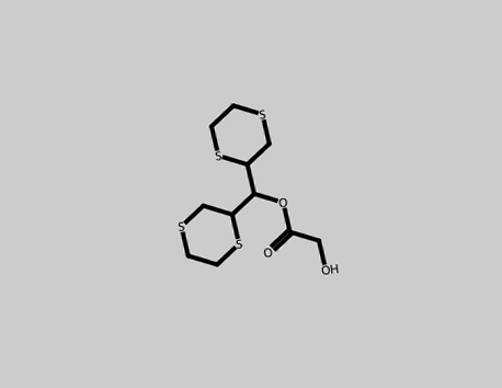 O=C(CO)OC(C1CSCCS1)C1CSCCS1